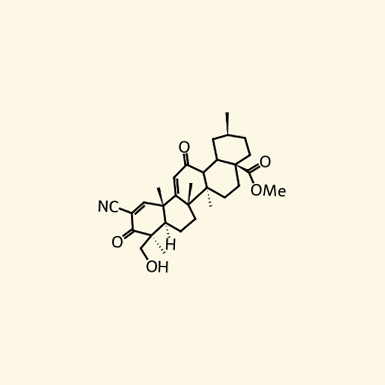 COC(=O)[C@]12CC[C@H](C)CC1C1C(=O)C=C3[C@@]4(C)C=C(C#N)C(=O)[C@](C)(CO)[C@@H]4CC[C@@]3(C)[C@]1(C)CC2